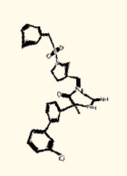 C[C@]1(c2cccc(-c3cccc(Cl)c3)c2)NC(=N)N(C[C@H]2CCN(S(=O)(=O)Cc3ccccc3)C2)C1=O